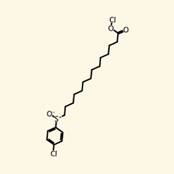 O=C(CCCCCCCCCCCCC[S+]([O-])c1ccc(Cl)cc1)OCl